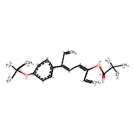 C=C/C(=C\C=C(/C=C)c1ccc(OC(C)(C)CC)cc1)OC(=O)C(C)(C)CC